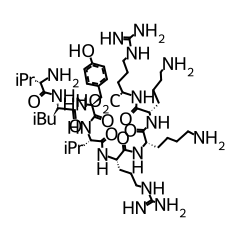 CC[C@H](C)[C@H](NC(=O)[C@@H](N)C(C)C)C(=O)N[C@@H](Cc1ccc(O)cc1)C(=O)N[C@H](C(=O)N[C@@H](CCCNC(=N)N)C(=O)N[C@@H](CCCCN)C(=O)N[C@@H](CCCCN)C(=O)N[C@@H](CCCNC(=N)N)C(=O)O)C(C)C